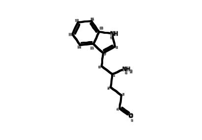 NC(CCC=O)Cc1c[nH]c2ccccc12